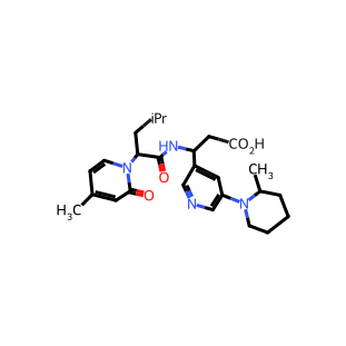 Cc1ccn(C(CC(C)C)C(=O)NC(CC(=O)O)c2cncc(N3CCCCC3C)c2)c(=O)c1